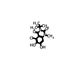 Cn1c(=O)n(C(C)(C)C)c(=O)c2c(Cl)c(O)c(O)cc21